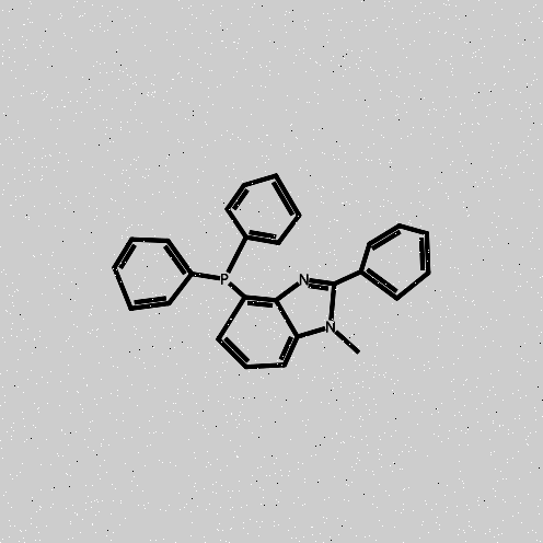 Cn1c(-c2ccccc2)nc2c(P(c3ccccc3)c3ccccc3)cccc21